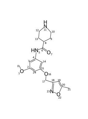 COc1cc(NC(=O)C2CCNCC2)cc(OCc2cc(C)on2)c1